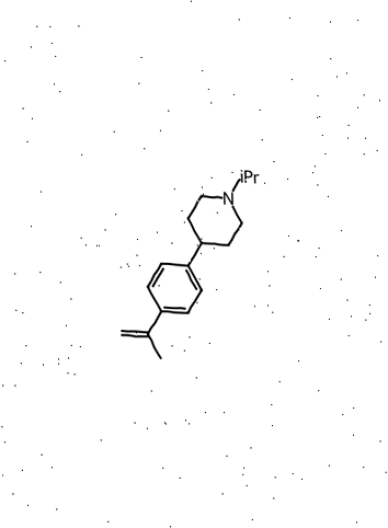 C=C(C)c1ccc(C2CCN(C(C)C)CC2)cc1